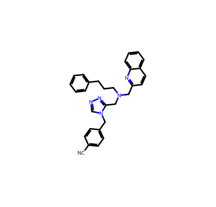 N#Cc1ccc(Cn2cnnc2CN(CCCc2ccccc2)Cc2ccc3ccccc3n2)cc1